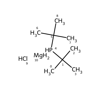 CC(C)(C)PC(C)(C)C.Cl.[MgH2]